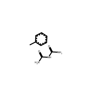 Cc1ccccc1.NC(=O)NC(N)=O